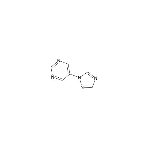 c1ncc(-n2cncn2)cn1